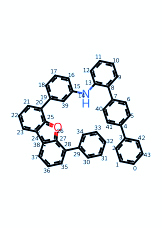 c1ccc(-c2ccc(-c3ccccc3Nc3cccc(-c4cccc5c4oc4c(-c6ccccc6)cccc45)c3)cc2)cc1